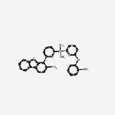 Cc1ccccc1Oc1cccc([Si](C)(C)c2cccc(-c3c(C)ccc4c3sc3ccccc34)n2)n1